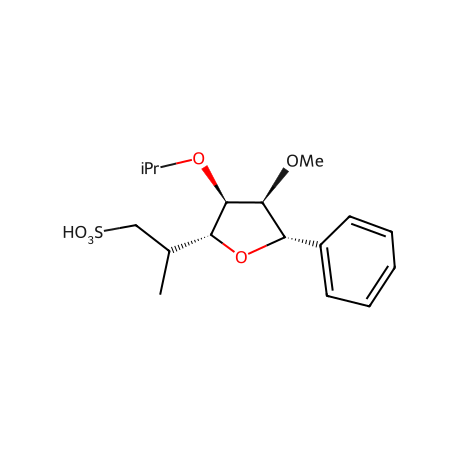 CO[C@@H]1[C@H](OC(C)C)[C@@H](C(C)CS(=O)(=O)O)O[C@H]1c1ccccc1